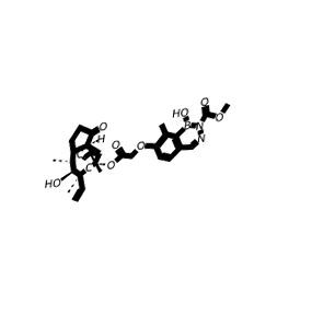 C=C[C@]1(C)C[C@@H](OC(=O)COc2ccc3c(c2C)B(O)N(C(=O)OC)N=C3)C2[C@H](C)CC[C@]3(CCC(=O)[C@@H]23)[C@@H](C)[C@@H]1O